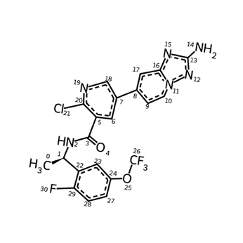 C[C@@H](NC(=O)c1cc(-c2ccn3nc(N)nc3c2)cnc1Cl)c1cc(OC(F)(F)F)ccc1F